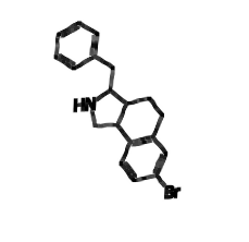 Brc1ccc2c(c1)CCC1C(Cc3ccccc3)NCC21